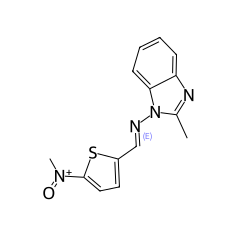 Cc1nc2ccccc2n1/N=C/c1ccc([N+](C)=O)s1